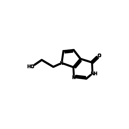 O=c1[nH]cnc2c1ccn2CCO